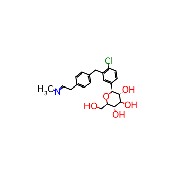 C/N=C/Cc1ccc(Cc2cc([C@@H]3O[C@H](CO)[C@@H](O)[C@H](O)[C@H]3O)ccc2Cl)cc1